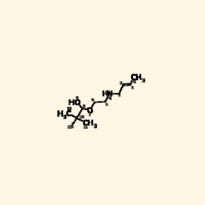 C/C=C/CNCCOC(O)C(C)(C)I